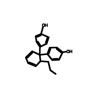 CCCC1C=CC=CC1(c1ccc(O)cc1)c1ccc(O)cc1